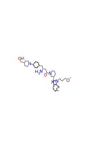 COCCCn1c(C2CCCN(C(=O)CC(N)Cc3ccc(N4CCC(CO)CC4)cc3)C2)nc2ccccc21